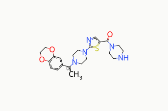 C[C@@H](c1ccc2c(c1)OCCO2)N1CCN(c2ncc(C(=O)N3CCNCC3)s2)CC1